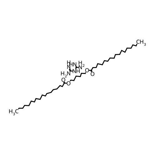 CCCCCCCCCCCCCCCCCC(=O)OCCCCCCOC(=O)CCCCCCCCCCCCCCCCC.N=C(N)NC(=N)N